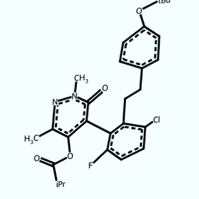 Cc1nn(C)c(=O)c(-c2c(F)ccc(Cl)c2CCc2ccc(OC(C)(C)C)cc2)c1OC(=O)C(C)C